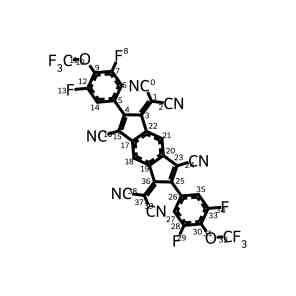 N#CC(C#N)=C1C(c2cc(F)c(OC(F)(F)F)c(F)c2)=C(C#N)c2cc3c(cc21)C(C#N)=C(c1cc(F)c(OC(F)(F)F)c(F)c1)C3=C(C#N)C#N